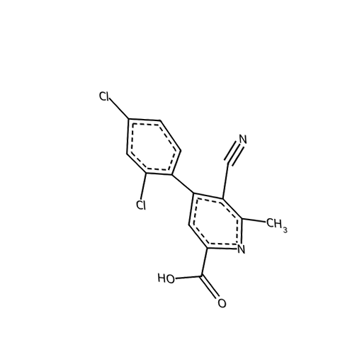 Cc1nc(C(=O)O)cc(-c2ccc(Cl)cc2Cl)c1C#N